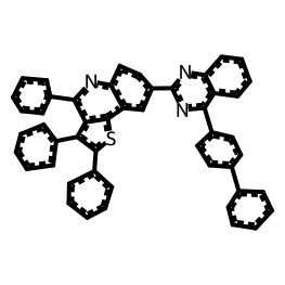 c1ccc(-c2ccc(-c3nc(-c4ccc5nc(-c6ccccc6)c6c(-c7ccccc7)c(-c7ccccc7)sc6c5c4)nc4ccccc34)cc2)cc1